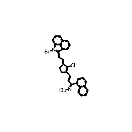 CCC(C)/N=C(\C=C\C1=C(Cl)C(=C/C=c2\c3cccc4cccc(c43)n2C(C)CC)/CC1)c1cccc2ccccc12